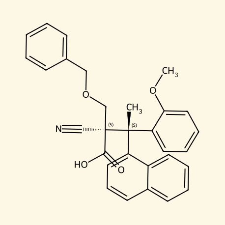 COc1ccccc1[C@](C)(c1cccc2ccccc12)[C@](C#N)(COCc1ccccc1)C(=O)O